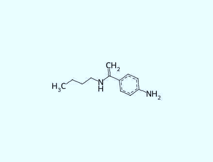 C=C(NCCCC)c1ccc(N)cc1